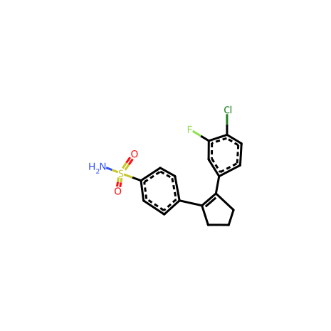 NS(=O)(=O)c1ccc(C2=C(c3ccc(Cl)c(F)c3)CCC2)cc1